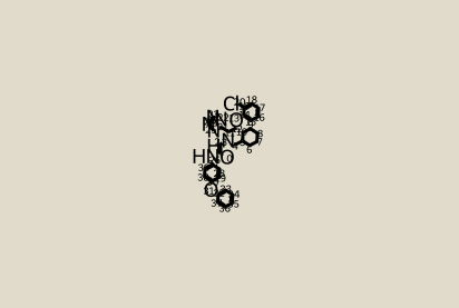 O=C(CN(CC1CCCCC1)C(COc1ccccc1Cl)c1nnn[nH]1)Nc1ccc(Oc2ccccc2)cc1